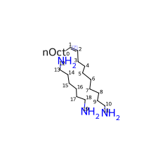 CCCCCCCC/C=C\CCCCCCCCN.NCCCCCCN